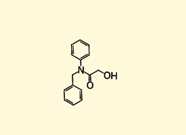 O=C(CO)N(Cc1ccccc1)c1ccccc1